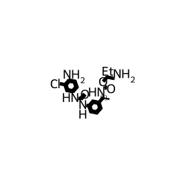 CCC(CN)OC(=O)N[C@@H](C)c1cccc(NC(=O)Nc2ccc(N)c(Cl)c2)c1